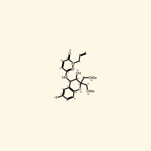 C=CCn1nc(NC2c3cc(F)ccc3OC(COC)(COC)C2O)ccc1=O